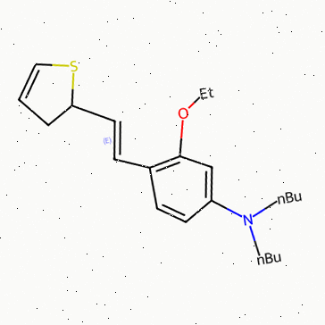 CCCCN(CCCC)c1ccc(/C=C/C2CC=CS2)c(OCC)c1